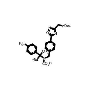 CCCCCCCCCCCc1noc(-c2ccc(CN(C(=O)O)C(C)(c3ccc(C(F)(F)F)cc3)C(C)(C)C)cc2)n1